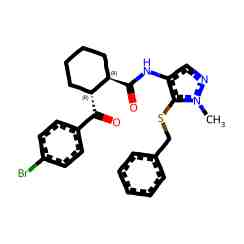 Cn1ncc(NC(=O)[C@@H]2CCCC[C@H]2C(=O)c2ccc(Br)cc2)c1SCc1ccccc1